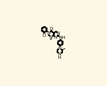 C[C@H]1CNCCN1c1ccc(Nc2ncc3c(n2)N(C)CN(c2ccccc2Cl)C3=O)cc1